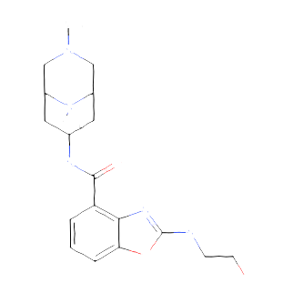 CN1CC2CC(NC(=O)c3cccc4oc(NCCO)nc34)CC(C1)N2C